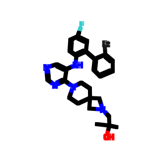 CCc1ccccc1-c1cc(F)ccc1Nc1cncnc1N1CCC2(CC1)CN(CC(C)(C)O)C2